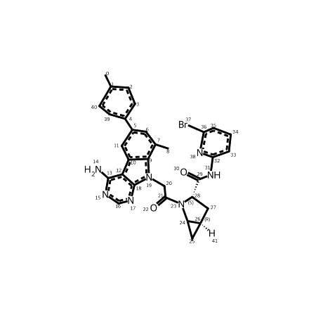 Cc1ccc(-c2cc(C)c3c(c2)c2c(N)ncnc2n3CC(=O)N2C3C[C@@H]3C[C@H]2C(=O)Nc2cccc(Br)n2)cc1